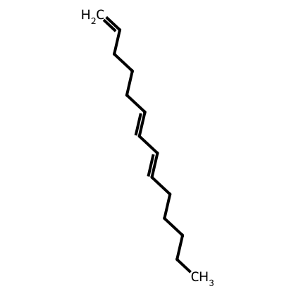 C=CCCCC=CC=CCCCCC